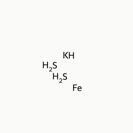 S.S.[Fe].[KH]